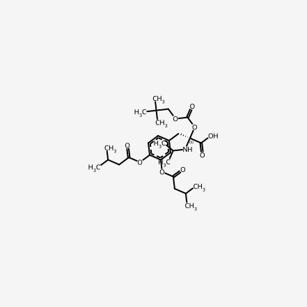 CC(C)CC(=O)Oc1ccc(C[C@](NC(C)C)(OC(=O)OCC(C)(C)C)C(=O)O)cc1OC(=O)CC(C)C